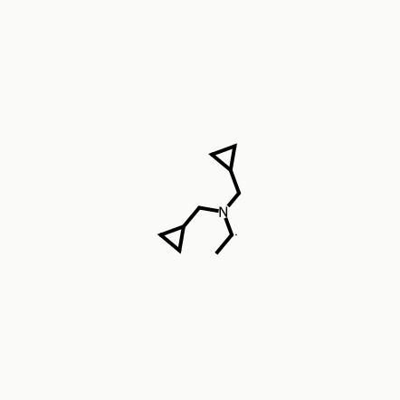 C[CH]N(CC1CC1)CC1CC1